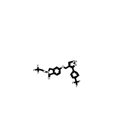 O=C1c2ccc(OCc3c[nH]nc3-c3ccc(C(F)(F)F)cc3)cc2CN1CCC(F)(F)F